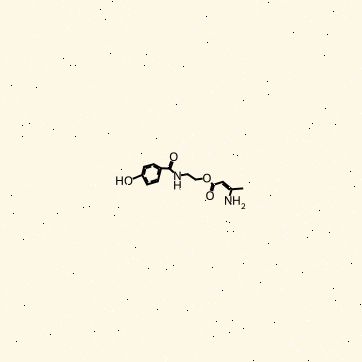 CC(N)=CC(=O)OCCNC(=O)c1ccc(O)cc1